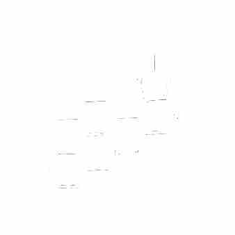 CC1=C(C(=O)NCc2ccccc2)C(c2ccc(Cl)c(Cl)c2)n2nc(C(F)(F)F)cc2N1